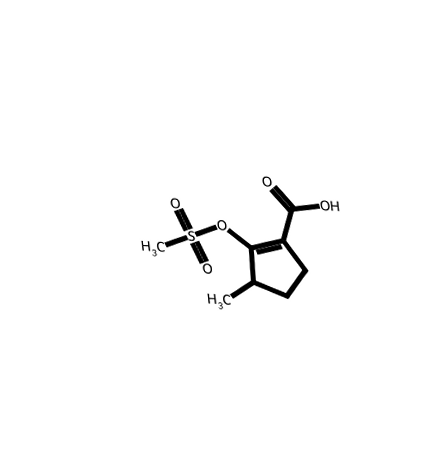 CC1CCC(C(=O)O)=C1OS(C)(=O)=O